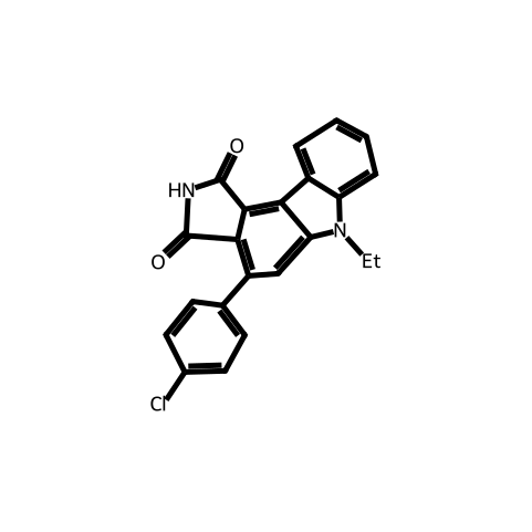 CCn1c2ccccc2c2c3c(c(-c4ccc(Cl)cc4)cc21)C(=O)NC3=O